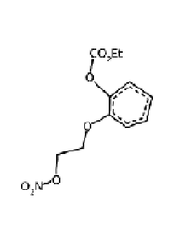 CCOC(=O)Oc1ccccc1OCCO[N+](=O)[O-]